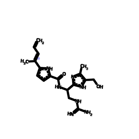 C=C/C=C(\C)c1ccc(C(=O)NC(CNC(=N)N)c2nc(C)c(CO)[nH]2)[nH]1